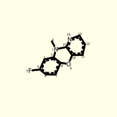 CN1c2cc(F)ccc2Oc2cccnc21